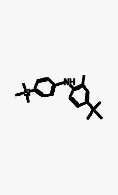 Cc1cc(C(C)(C)C)ccc1Nc1ccc([Si](C)(C)C)cc1